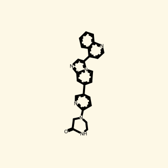 O=C1CN(c2ccc(-c3ccn4c(-c5ccnc6ccccc56)cnc4c3)cn2)CCN1